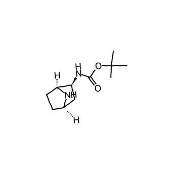 CC(C)(C)OC(=O)N[C@H]1C[C@H]2CC[C@@H]1N2